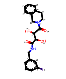 O=C(NCc1cccc(I)c1)C(O)C(O)C(=O)N1CCc2ccccc2C1